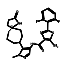 Cn1ncc(NC(=O)c2nc(-c3c(F)cccc3F)sc2N)c1C1CCC[C@@]2(CCC(=O)N2)CC1